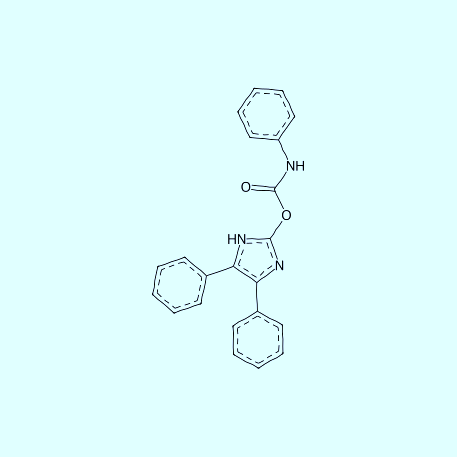 O=C(Nc1ccccc1)Oc1nc(-c2ccccc2)c(-c2ccccc2)[nH]1